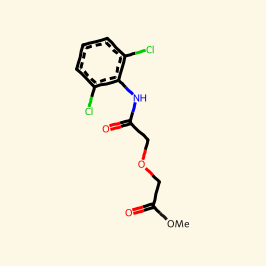 COC(=O)COCC(=O)Nc1c(Cl)cccc1Cl